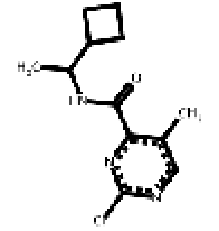 Cc1cnc(Cl)nc1C(=O)NC(C)C1CCC1